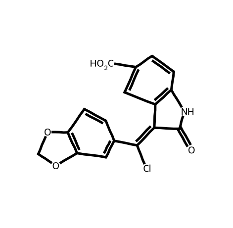 O=C1Nc2ccc(C(=O)O)cc2C1=C(Cl)c1ccc2c(c1)OCO2